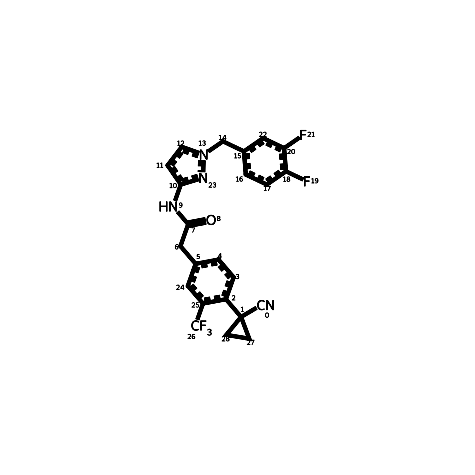 N#CC1(c2ccc(CC(=O)Nc3ccn(Cc4ccc(F)c(F)c4)n3)cc2C(F)(F)F)CC1